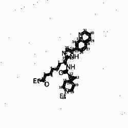 CCC(=O)CCCCC[C@H](NC(=O)[C@H]1CC12CCN(CC)CC2)c1ncc(-c2ccc3cccnc3c2)[nH]1